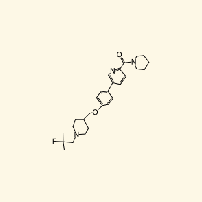 CC(C)(F)CN1CCC(COc2ccc(-c3ccc(C(=O)N4CCCCC4)nc3)cc2)CC1